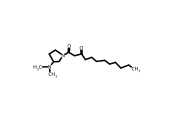 CCCCCCCCCC(=O)CC(=O)N1CCC(N(C)C)C1